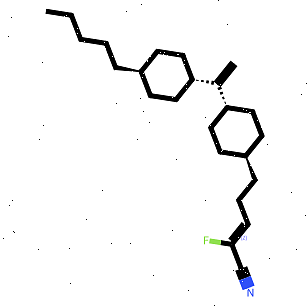 C=C([C@H]1CC[C@H](CC/C=C(\F)C#N)CC1)[C@H]1CC[C@H](CCCCC)CC1